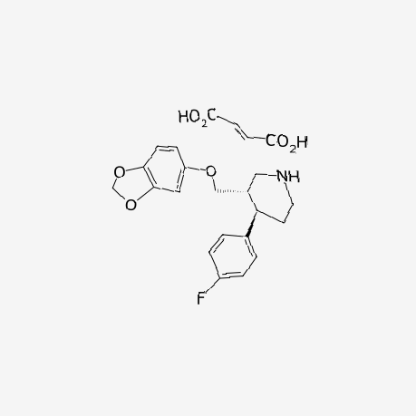 Fc1ccc([C@@H]2CCNC[C@H]2COc2ccc3c(c2)OCO3)cc1.O=C(O)/C=C/C(=O)O